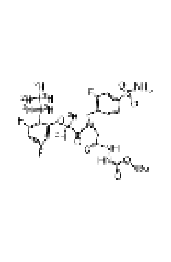 [2H]C([2H])(Oc1cc(F)cc(F)c1C([2H])([2H])C([2H])([2H])[2H])C(=O)N(CC(=O)NNC(=O)OC(C)(C)C)Cc1ccc(S(N)(=O)=O)cc1F